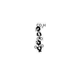 CC1(C)CC(=O)N(c2ccc(OC(=O)N3CCN(c4ccc(C(=O)O)cn4)CC3)nc2)C(=O)C1